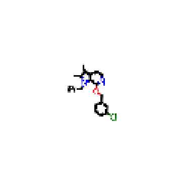 Cc1c(C)n(CC(C)C)c2c(OCc3cccc(Cl)c3)nccc12